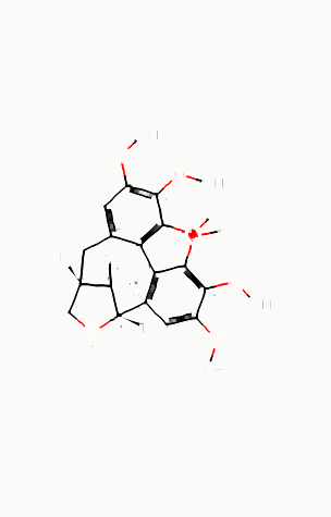 COc1cc2c(c(OC)c1OC)-c1c(cc(OC)c(OC)c1OC)[C@@H]1OC[C@H](C2)[C@H]1C